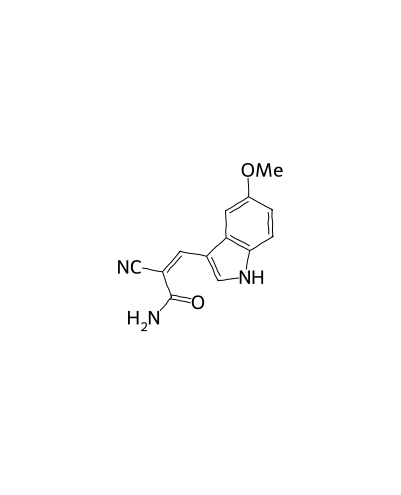 COc1ccc2[nH]cc(C=C(C#N)C(N)=O)c2c1